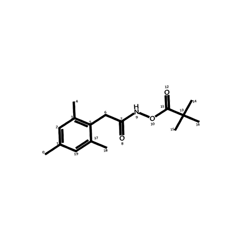 Cc1cc(C)c(CC(=O)NOC(=O)C(C)(C)C)c(C)c1